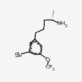 C[C@H](N)CCCc1cc(OC(F)(F)F)cc(C(C)(C)C)c1